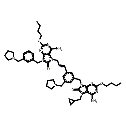 CCCCOc1nc(N)c2c(n1)n(Cc1cccc(CN3CCCC3)c1)c(=O)n2C/C=C/c1cc(CN2CCCC2)cc(Cn2c(=O)n(CC3CC3)c3c(N)nc(OCCCC)nc32)c1